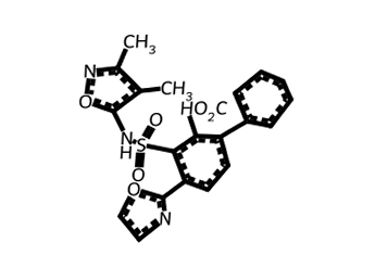 Cc1noc(NS(=O)(=O)c2c(-c3ncco3)ccc(-c3ccccc3)c2C(=O)O)c1C